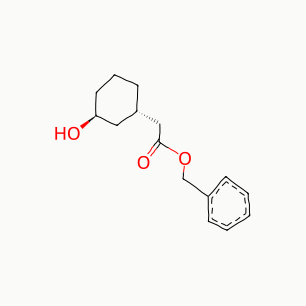 O=C(C[C@H]1CCC[C@H](O)C1)OCc1ccccc1